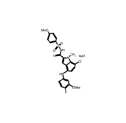 COc1ccc(S(=O)(=O)NC(=O)c2cc3c(Nc4ccc(F)c(OC)c4)ccc(Cl)c3n2C)cc1.[NaH]